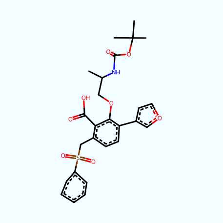 CC(COc1c(-c2ccoc2)ccc(CS(=O)(=O)c2ccccc2)c1C(=O)O)NC(=O)OC(C)(C)C